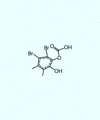 Cc1c(C)c(Br)c(Br)c(OC(=O)O)c1O